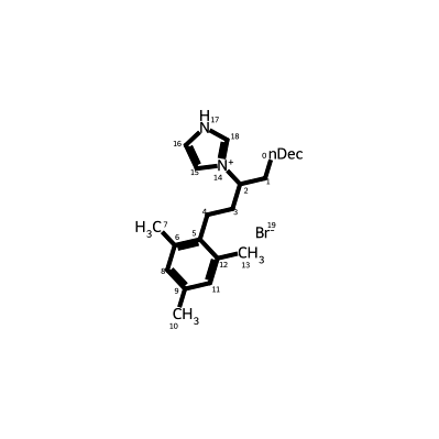 CCCCCCCCCCCC(CCc1c(C)cc(C)cc1C)[n+]1cc[nH]c1.[Br-]